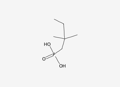 CCC(C)(C)CP(=O)(O)O